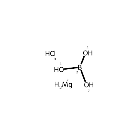 Cl.OB(O)O.[MgH2]